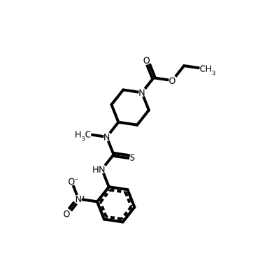 CCOC(=O)N1CCC(N(C)C(=S)Nc2ccccc2[N+](=O)[O-])CC1